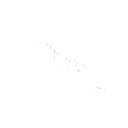 O=C(NCCNC(=O)N1CCC(F)(F)CC1)c1ccc(O[C@H]2CC[C@@H](C(=O)O)CC2)cc1